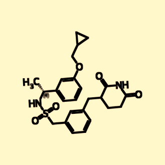 C[C@@H](NS(=O)(=O)Cc1cccc(CC2CCC(=O)NC2=O)c1)c1cccc(OCC2CC2)c1